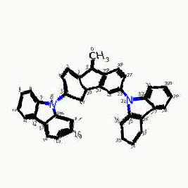 CC1C2=CC=C(n3c4ccccc4c4ccccc43)CC2c2cc(-n3c4c(c5ccccc53)C=CCC4)ccc21